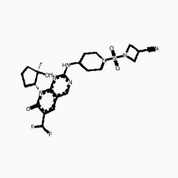 C[C@@]1(O)CCC[C@H]1n1c(=O)c(C(F)F)cc2cnc(NC3CCN(S(=O)(=O)N4CC(C#N)C4)CC3)nc21